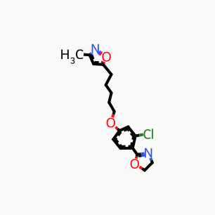 Cc1cc(CCCCCOc2ccc(C3=NCCO3)c(Cl)c2)on1